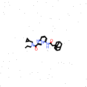 CCCN(CC1CC1)C(=O)c1cn2c(NC(=O)CC34CC5CC(CC(C5)C3)C4)cccc2n1